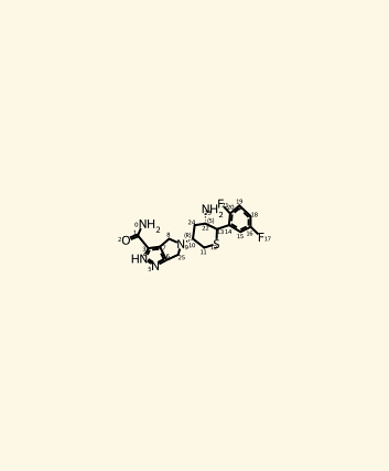 NC(=O)c1[nH]nc2c1CN([C@H]1CSC(c3cc(F)ccc3F)[C@@H](N)C1)C2